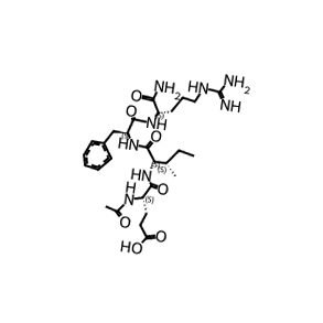 CC[C@H](C)[C@H](NC(=O)[C@H](CCC(=O)O)NC(C)=O)C(=O)N[C@@H](Cc1ccccc1)C(=O)N[C@@H](CCCNC(=N)N)C(N)=O